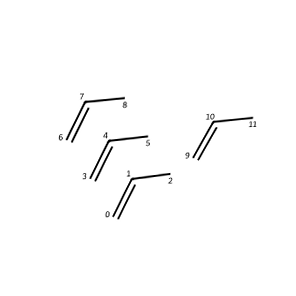 C=CC.C=CC.C=CC.C=CC